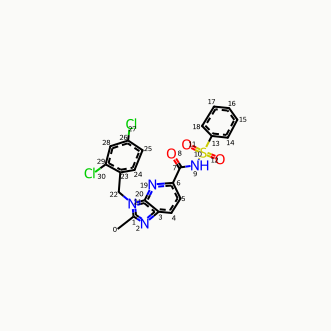 Cc1nc2ccc(C(=O)NS(=O)(=O)c3ccccc3)nc2n1Cc1ccc(Cl)cc1Cl